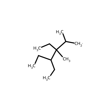 [CH2]C(C)C(C)(CC)C(CC)CC